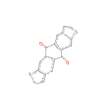 O=C1c2cc3ccsc3cc2C(=O)c2cc3ccsc3cc21